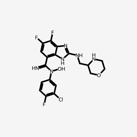 N=C(c1cc(F)c(F)c2nc(NCC3COCCN3)[nH]c12)N(O)c1ccc(F)c(Cl)c1